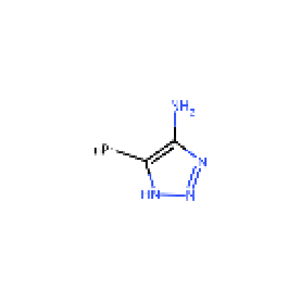 CCCc1[nH]nnc1N